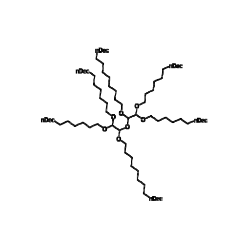 CCCCCCCCCCCCCCCCCCOC(OC(OCCCCCCCCCCCCCCCCCC)C(OCCCCCCCCCCCCCCCC)OCCCCCCCCCCCCCCCC)C(OCCCCCCCCCCCCCCCC)OCCCCCCCCCCCCCCCC